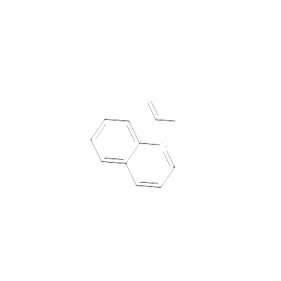 O=CO.c1ccc2ncccc2c1